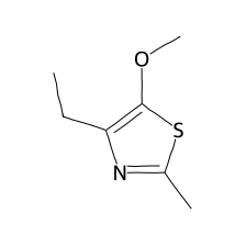 CCc1nc(C)sc1OC